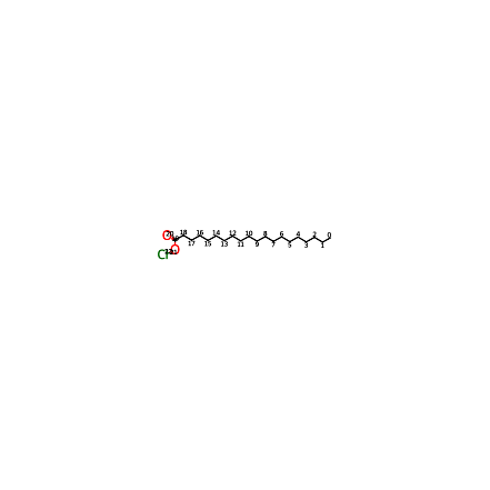 CCCCCCCCCCCCCCCCCCCC(=O)OCl